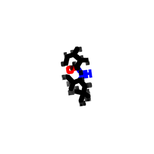 CCC(C)C(C)C(=O)NC(CC(C)(C)C)C(C)C